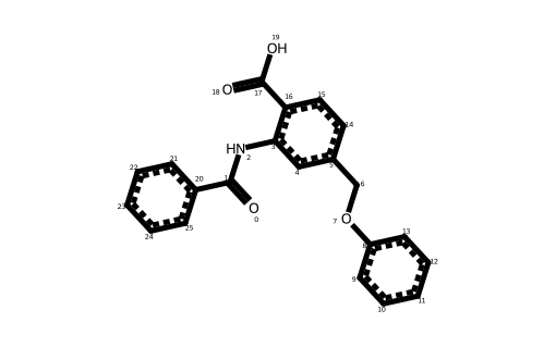 O=C(Nc1cc(COc2ccccc2)ccc1C(=O)O)c1ccccc1